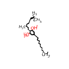 CCCCCCCCCCc1cc(O)c(C/C=C(\C)CCC=C(C)C)c(O)c1